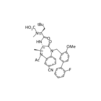 COc1ccc(-c2ccccc2F)cc1CN1C(=O)[C@@H](NC(=O)[C@H](CC(C)(C)C)N(C)C(=O)O)[C@H](C)N(C(C)=O)c2cc(C#N)ccc21